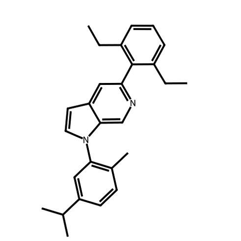 CCc1cccc(CC)c1-c1cc2ccn(-c3cc(C(C)C)ccc3C)c2cn1